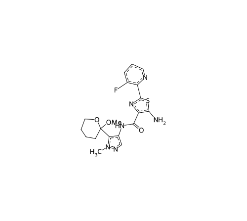 COC1(c2c(NC(=O)c3nc(-c4ncccc4F)sc3N)cnn2C)CCCCO1